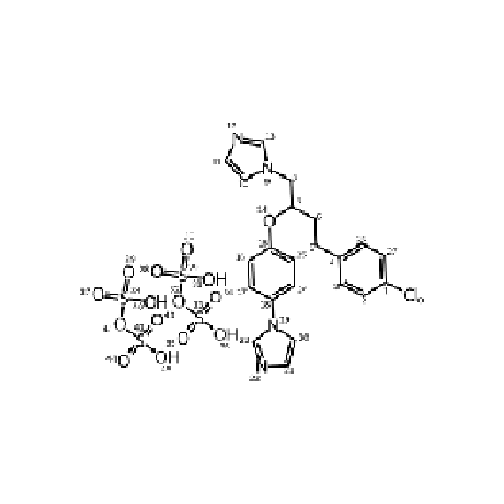 Clc1ccc(CCC(Cn2ccnc2)Oc2ccc(-n3ccnc3)cc2)cc1.O=S(=O)(O)OS(=O)(=O)O.O=S(=O)(O)OS(=O)(=O)O